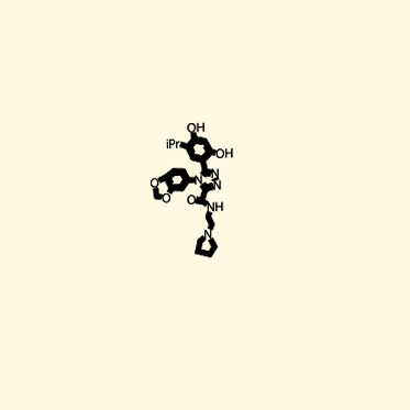 CC(C)c1cc(-c2nnc(C(=O)NCCN3CCCC3)n2-c2ccc3c(c2)OCO3)c(O)cc1O